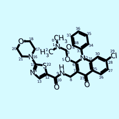 CN(C)C(=O)Oc1c(CNC(=O)c2cnc(N3CCOCC3)s2)c(=O)c2ccc(Cl)cc2n1-c1ccccc1